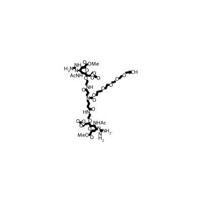 C#CCOCCOCCOCCOCCCOC(=O)N(CCCC(=O)NCCO[C@@H]([C@@H]1OC(C(=O)OC)=C[C@H](N=C(N)N)[C@H]1NC(C)=O)[C@H]1COC(=O)O1)CCC(=O)NCCO[C@@H]([C@@H]1OC(C(=O)OC)=C[C@H](N=C(N)N)[C@H]1NC(C)=O)[C@H]1COC(=O)O1